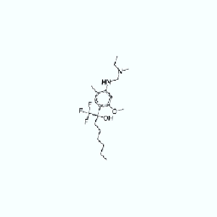 CCCCCCC(O)(c1cc(C)c(NCN(C)CC)cc1OC)C(F)(F)F